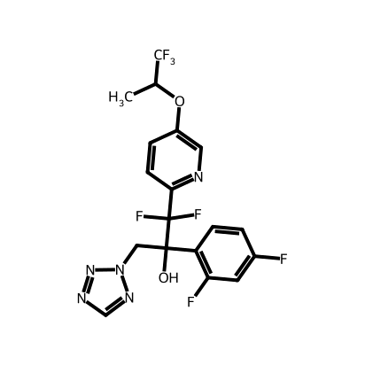 CC(Oc1ccc(C(F)(F)C(O)(Cn2ncnn2)c2ccc(F)cc2F)nc1)C(F)(F)F